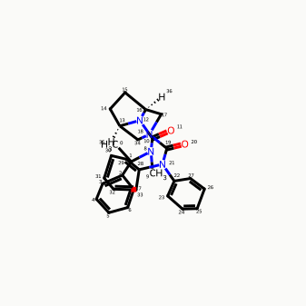 CC(c1ccccc1)N(C)C(=O)N1[C@@H]2CC[C@H]1CN(C(=O)N(c1ccccc1)c1ccccc1)C2